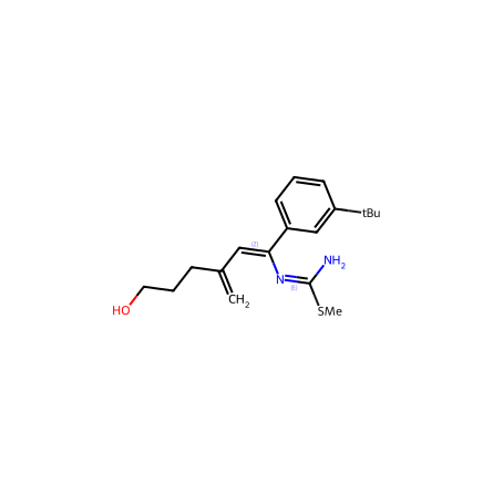 C=C(/C=C(\N=C(/N)SC)c1cccc(C(C)(C)C)c1)CCCO